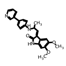 COc1cc2c(cc1OC)C(=CC(C)Nc1ccc(-c3cccnc3)cc1)C(=O)N2